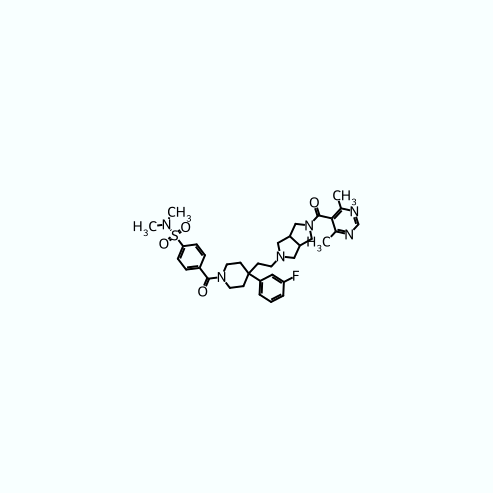 Cc1ncnc(C)c1C(=O)N1CC2CN(CCC3(c4cccc(F)c4)CCN(C(=O)c4ccc(S(=O)(=O)N(C)C)cc4)CC3)CC2C1